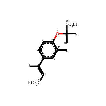 CCOC(=O)C=C(C)c1ccc(OC(C)(C)C(=O)OCC)c(C)c1